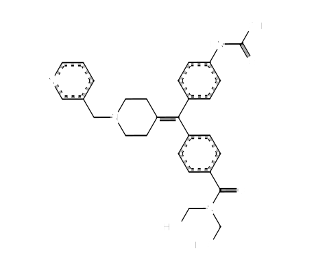 CCN(CC)C(=O)c1ccc(C(=C2CCN(Cc3cccnc3)CC2)c2ccc(NC(C)=O)cc2)cc1